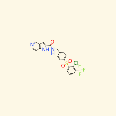 O=C(NCc1ccc(S(=O)(=O)c2cccc(C(F)(F)F)c2Cl)cc1)c1cc2cnccc2[nH]1